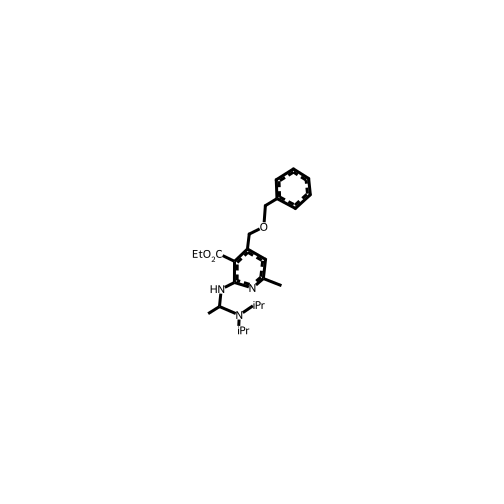 CCOC(=O)c1c(COCc2ccccc2)cc(C)nc1NC(C)N(C(C)C)C(C)C